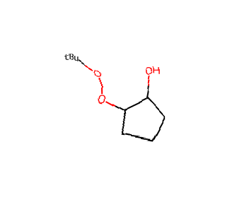 CC(C)(C)OOC1CCCC1O